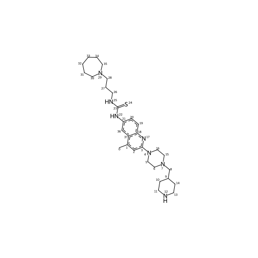 Cc1cc(N2CCN(CC3CCNCC3)CC2)nc2ccc(NC(=S)NCCCN3CCCCCC3)cc12